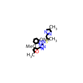 COc1cccc(OC)c1-n1c(NSC(C)Cc2ncc(C)cn2)nnc1-c1ccc(C)o1